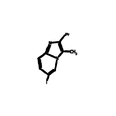 Cc1c(C(C)C)nc2ccc(I)cn12